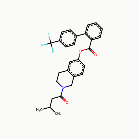 CC(C)CC(=O)N1CCc2cc(OC(=O)c3ccccc3-c3ccc(C(F)(F)F)cc3)ccc2C1